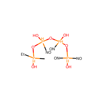 CC[PH](C)(O)O[PH](O)(N=O)O[PH](O)(N=O)O[PH](O)(N=O)N=O